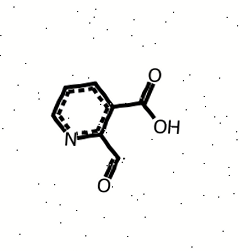 O=[C]c1ncccc1C(=O)O